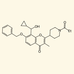 CCC(=O)N1CCC(c2oc3c(C(O)C4CC4)c(OCc4ccccc4)ccc3c(=O)c2C)CC1